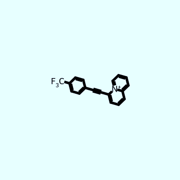 FC(F)(F)c1ccc(C#Cc2cccc3cccc[n+]23)cc1